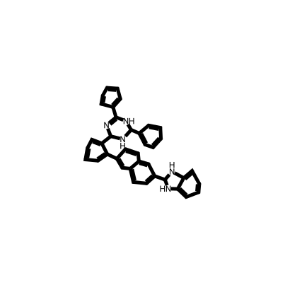 c1ccc(C2=NC(c3ccccc3-c3ccc4cc(C5Nc6ccccc6N5)ccc4c3)NC(c3ccccc3)N2)cc1